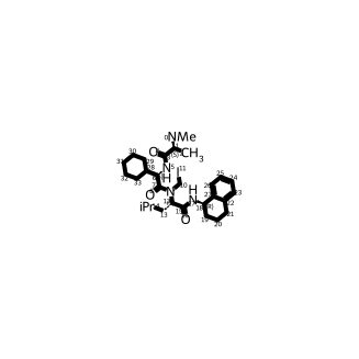 CN[C@@H](C)C(=O)N[C@H](C(=O)N(CI)[C@@H](CC(C)C)C(=O)N[C@@H]1CCCc2ccccc21)C1CCCCC1